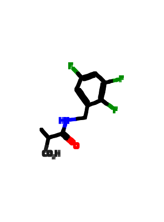 CC(C(=O)O)C(=O)NCc1cc(F)cc(F)c1F